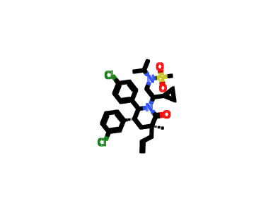 C=CC[C@@]1(C)C[C@H](c2cccc(Cl)c2)C(c2ccc(Cl)cc2)N(C(CN(C(C)C)S(C)(=O)=O)C2CC2)C1=O